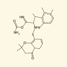 Cc1ccc(F)c(C(C)C(NSC2=C3OC(C)(C)CC(=O)C3CC=C2)C(=N)OC(N)=O)c1C